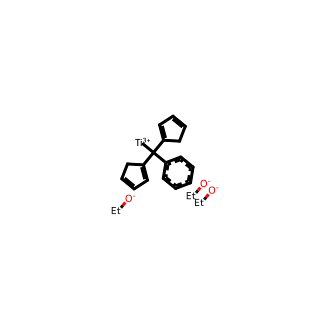 CC[O-].CC[O-].CC[O-].[Ti+3][C](C1=CC=CC1)(C1=CC=CC1)c1ccccc1